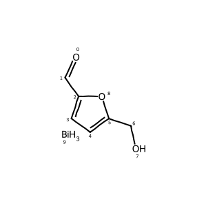 O=Cc1ccc(CO)o1.[BiH3]